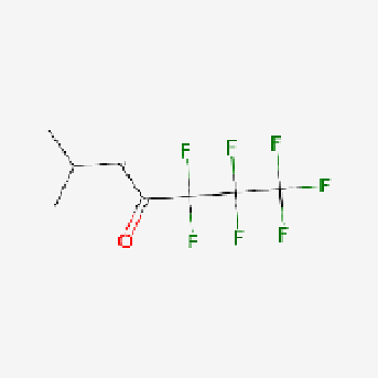 CC(C)[CH]C(=O)C(F)(F)C(F)(F)C(F)(F)F